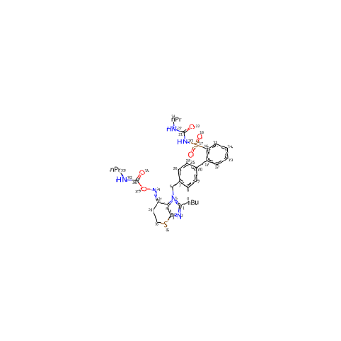 CCCCc1nc2c(n1Cc1ccc(-c3ccccc3S(=O)(=O)NC(=O)NCCC)cc1)C(=NOC(=O)NCCC)CCS2